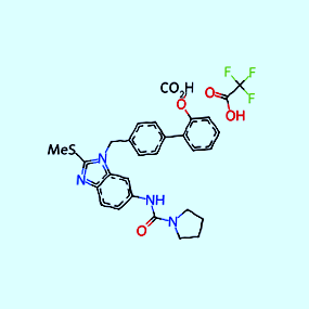 CSc1nc2ccc(NC(=O)N3CCCC3)cc2n1Cc1ccc(-c2ccccc2OC(=O)O)cc1.O=C(O)C(F)(F)F